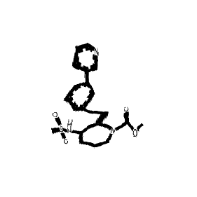 COC(=O)N1CCCC(NS(C)(=O)=O)C1Cc1cccc(-c2cccnc2)c1